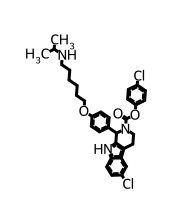 CC(C)NCCCCCCOc1ccc(C2c3[nH]c4ccc(Cl)cc4c3CCN2C(=O)Oc2ccc(Cl)cc2)cc1